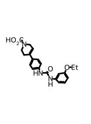 CCOc1cccc(NC(=O)Nc2ccc(C3=CCN(C(=O)O)CC3)cc2)c1